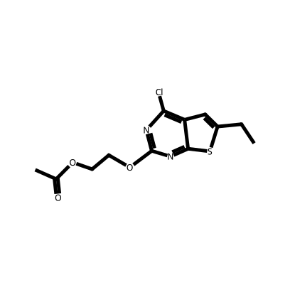 CCc1cc2c(Cl)nc(OCCOC(C)=O)nc2s1